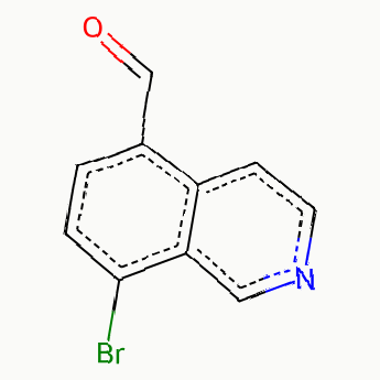 O=Cc1ccc(Br)c2cnccc12